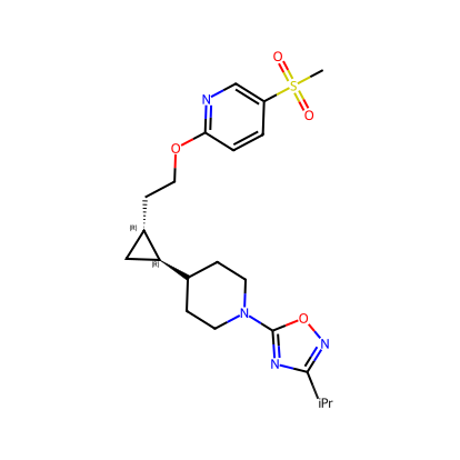 CC(C)c1noc(N2CCC([C@H]3C[C@@H]3CCOc3ccc(S(C)(=O)=O)cn3)CC2)n1